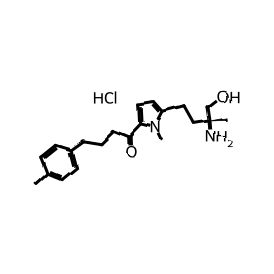 Cc1ccc(CCCC(=O)c2ccc(CC[C@@](C)(N)CO)n2C)cc1.Cl